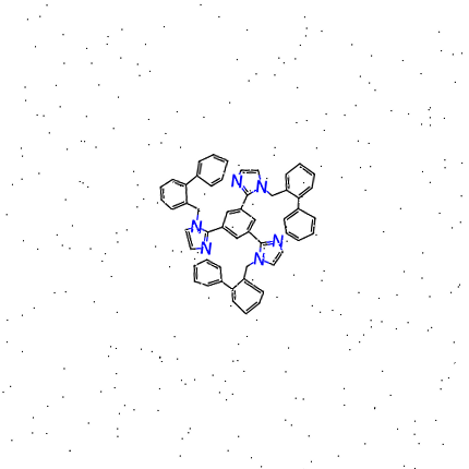 c1ccc(-c2ccccc2Cn2ccnc2-c2cc(-c3nccn3Cc3ccccc3-c3ccccc3)cc(-c3nccn3Cc3ccccc3-c3ccccc3)c2)cc1